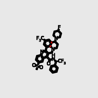 CS(=O)(=O)c1ccc2nc(-c3cccc(C(F)(F)F)c3)c(CN3CCC(N4CCC(F)CC4)CC3)c(C(=O)N[C@H](c3ccccc3)C(F)(F)F)c2c1